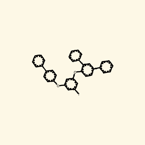 Ic1cc(Oc2ccc(-c3ccccc3)cc2)cc(Oc2ccc(-c3ccccc3)cc2-c2ccccc2)c1